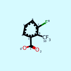 [O]C(=O)c1cccc(F)c1C(F)(F)F